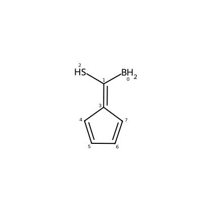 BC(S)=C1C=CC=C1